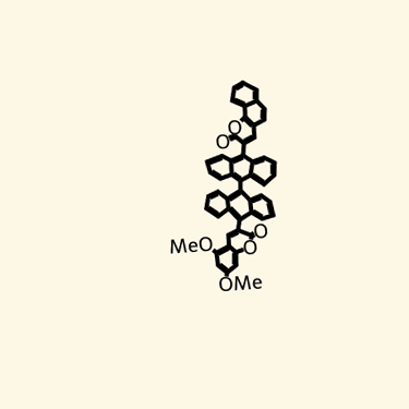 COc1cc(OC)c2cc(-c3c4ccccc4c(-c4c5ccccc5c(-c5cc6ccc7ccccc7c6oc5=O)c5ccccc45)c4ccccc34)c(=O)oc2c1